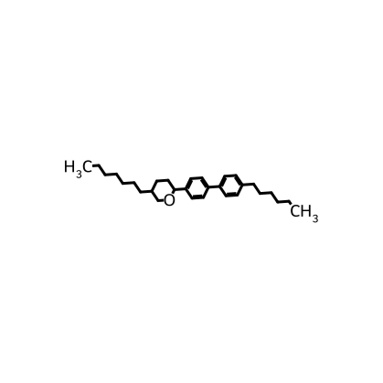 CCCCCCCC1CCC(c2ccc(-c3ccc(CCCCCC)cc3)cc2)OC1